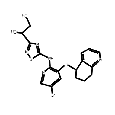 OCC(O)c1nsc(Nc2ncc(Br)cc2OC2CCCc3ncccc32)n1